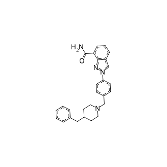 NC(=O)c1cccc2cn(-c3ccc(CN4CCC(Cc5ccccc5)CC4)cc3)nc12